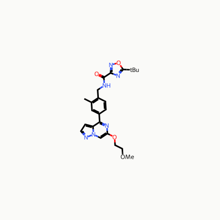 COCCOc1cn2nccc2c(-c2ccc(CNC(=O)c3noc(C(C)(C)C)n3)c(C)c2)n1